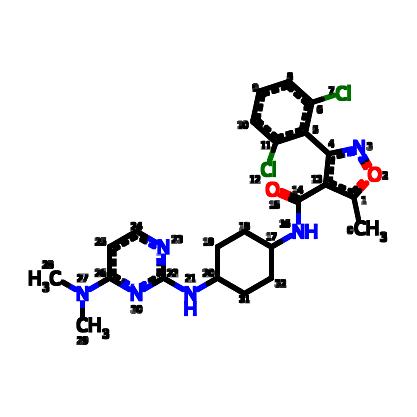 Cc1onc(-c2c(Cl)cccc2Cl)c1C(=O)NC1CCC(Nc2nccc(N(C)C)n2)CC1